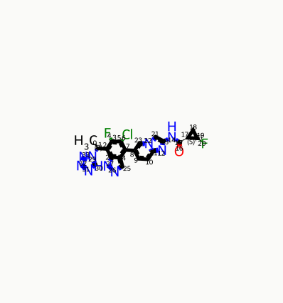 C[C@H](c1c(F)c(Cl)c(-c2ccc3nc(NC(=O)[C@@H]4C[C@@H]4F)cn3c2)c2cn[nH]c12)n1cnnn1